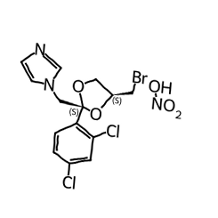 Clc1ccc([C@]2(Cn3ccnc3)OC[C@@H](CBr)O2)c(Cl)c1.O=[N+]([O-])O